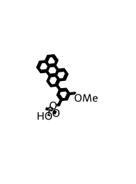 COCc1cc(COP(C)(=O)O)cc(C2=c3cccc4c3c(c3cccc5cccc4c53)CC2)c1